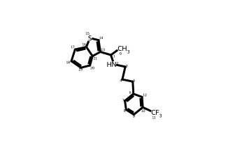 CC(NCCCc1cccc(C(F)(F)F)c1)c1csc2ccccc12